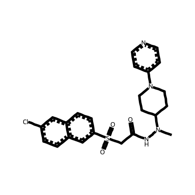 CN(NC(=O)CS(=O)(=O)c1ccc2cc(Cl)ccc2c1)C1CCN(c2ccncc2)CC1